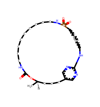 C[C@@H]1CCCc2cnc(nc2)Nc2ccc(cc2)S(=O)(=O)NCCCCCCCCCNC(=O)O1